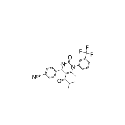 CC1=C(C(=O)C(C)C)C(c2ccc(C#N)cc2)[N]C(=O)N1c1cccc(C(F)(F)F)c1